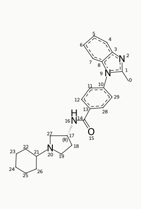 Cc1nc2ccccc2n1-c1ccc(C(=O)N[C@@H]2CCN(C3CCCCC3)C2)cc1